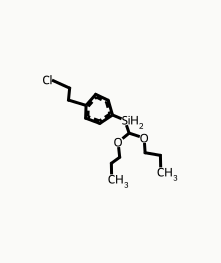 CCCOC(OCCC)[SiH2]c1ccc(CCCl)cc1